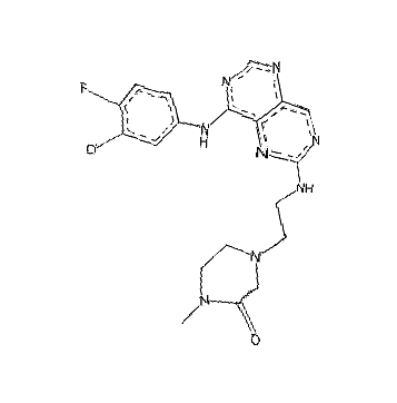 CN1CCN(CCNc2ncc3ncnc(Nc4ccc(F)c(Cl)c4)c3n2)CC1=O